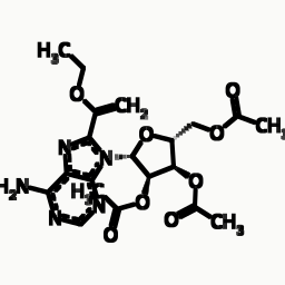 C=C(OCC)c1nc2c(N)ncnc2n1[C@@H]1O[C@H](COC(C)=O)[C@@H](OC(C)=O)[C@H]1OC(C)=O